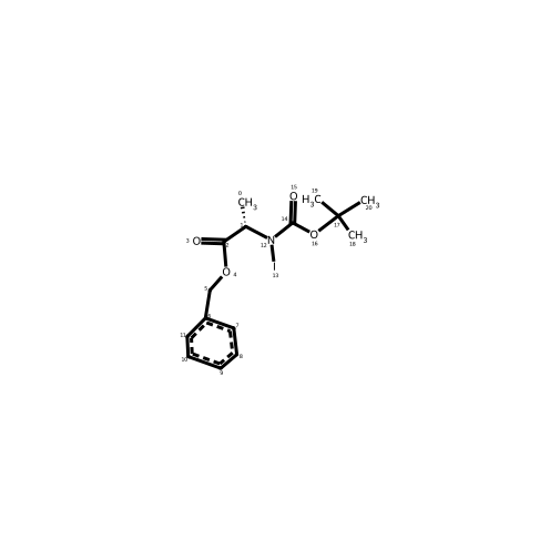 C[C@@H](C(=O)OCc1ccccc1)N(I)C(=O)OC(C)(C)C